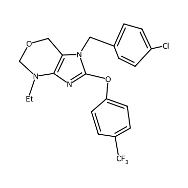 CCN1COCc2c1nc(Oc1ccc(C(F)(F)F)cc1)n2Cc1ccc(Cl)cc1